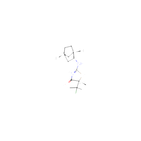 CC(C)(F)[C@@]1(C)SC(N[C@H]2C[C@@H]3CC[C@H]2C3)=NC1=O